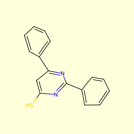 Sc1cc(-c2ccccc2)nc(-c2ccccc2)n1